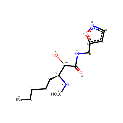 CC(C)(C)CCCC[C@H](NC(=O)O)[C@H](O)C(=O)NCc1ccno1